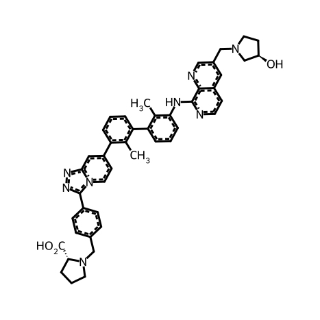 Cc1c(Nc2nccc3cc(CN4CC[C@@H](O)C4)cnc23)cccc1-c1cccc(-c2ccn3c(-c4ccc(CN5CCC[C@@H]5C(=O)O)cc4)nnc3c2)c1C